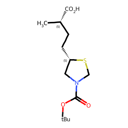 C[C@@H](CC[C@H]1CN(C(=O)OC(C)(C)C)CS1)C(=O)O